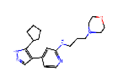 c1cc(-c2cn[nH]c2C2CCCC2)cc(NCCCN2CCOCC2)n1